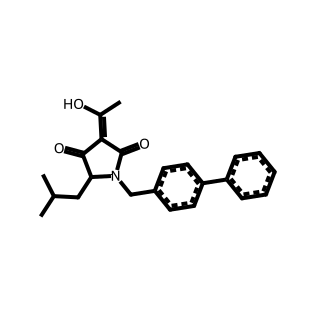 C/C(O)=C1/C(=O)C(CC(C)C)N(Cc2ccc(-c3ccccc3)cc2)C1=O